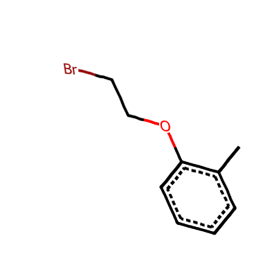 Cc1ccccc1OCCBr